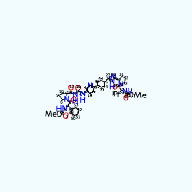 COC(=O)NC(C(=O)N1CCCC1C(=O)NC(=O)Nc1ccc(-c2ccc(-c3cnc(C4CCCN4C(=O)[C@@H](NC(=O)OC)C(C)C)[nH]3)cc2)nc1)c1ccccc1